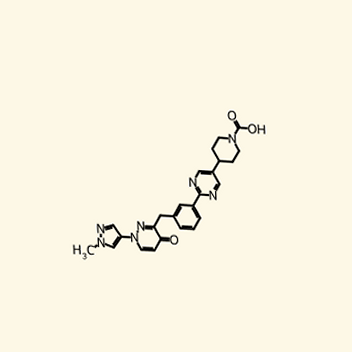 Cn1cc(-n2ccc(=O)c(Cc3cccc(-c4ncc(C5CCN(C(=O)O)CC5)cn4)c3)n2)cn1